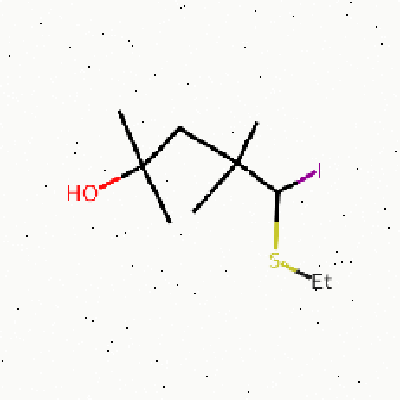 CCSC(I)C(C)(C)CC(C)(C)O